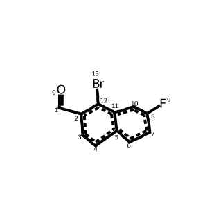 O=Cc1ccc2ccc(F)cc2c1Br